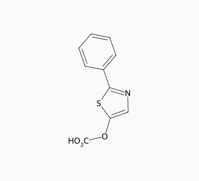 O=C(O)Oc1cnc(-c2ccccc2)s1